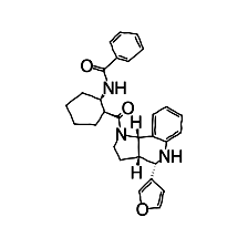 O=C(N[C@@H]1CCCC[C@@H]1C(=O)N1CC[C@H]2[C@@H](c3ccoc3)Nc3ccccc3[C@H]21)c1ccccc1